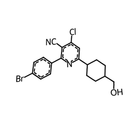 N#Cc1c(Cl)cc(C2CCC(CO)CC2)nc1-c1ccc(Br)cc1